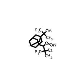 CCC(C)(C(OO)C12CC3CC(C1)CC(C(O)(C(F)(F)F)C(F)(F)F)(C3)C2)C(F)(F)F